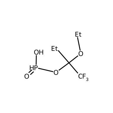 CCOC(CC)(O[PH](=O)O)C(F)(F)F